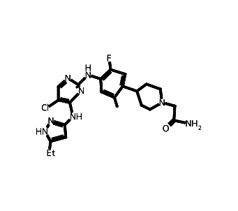 CCc1cc(Nc2nc(Nc3cc(C)c(C4CCN(CC(N)=O)CC4)cc3F)ncc2Cl)n[nH]1